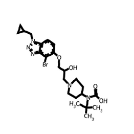 CC(C)(C)N(C(=O)O)C1CCN(CC(O)COc2ccc3c(nnn3CC3CC3)c2Br)CC1